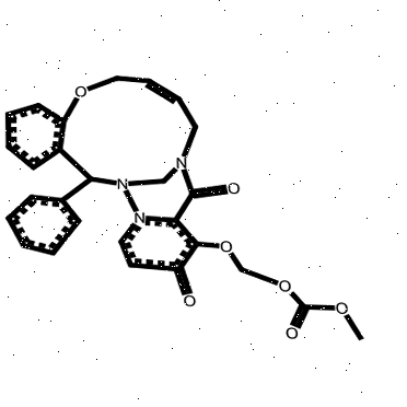 COC(=O)OCOc1c2n(ccc1=O)N1CN(C/C=C\COc3ccccc3C1c1ccccc1)C2=O